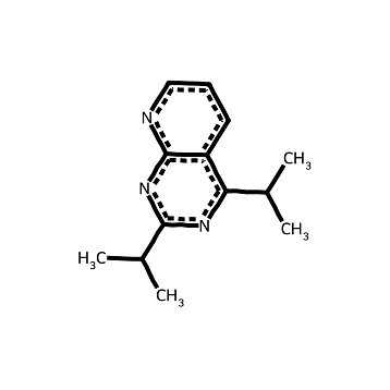 CC(C)c1nc(C(C)C)c2cccnc2n1